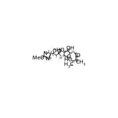 COc1ncc(C(=O)CC(=O)C[C@H]2CO[C@@H](C[C@@H]3O[C@H]3[C@@H](C)[C@H](C)O)[C@H](O)[C@@H]2O)cn1